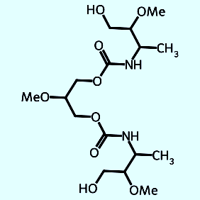 COC(COC(=O)NC(C)C(CO)OC)COC(=O)NC(C)C(CO)OC